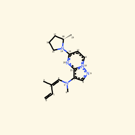 C=C/C(C)=C\N(C)c1cnn2ccc(N3CCC[C@@H]3C)nc12